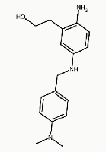 CN(C)c1ccc(CNc2ccc(N)c(CCO)c2)cc1